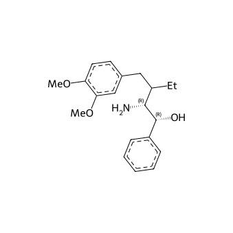 CCC(Cc1ccc(OC)c(OC)c1)[C@@H](N)[C@H](O)c1ccccc1